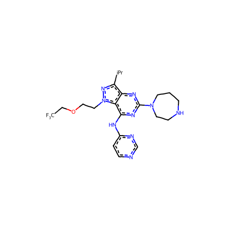 CC(C)c1nn(CCOCC(F)(F)F)c2c(Nc3ccncn3)nc(N3CCCNCC3)nc12